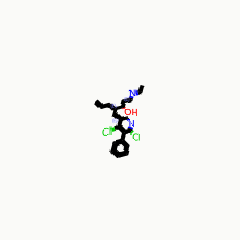 C=C/C=C(\C=C1/CN=C(Cl)C(c2ccccc2)=C1Cl)C(O)/C=C/N=C/C